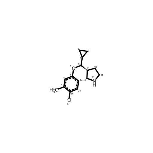 Cc1cc(OC(C2CC2)[C@H]2CCNC2)ccc1Cl